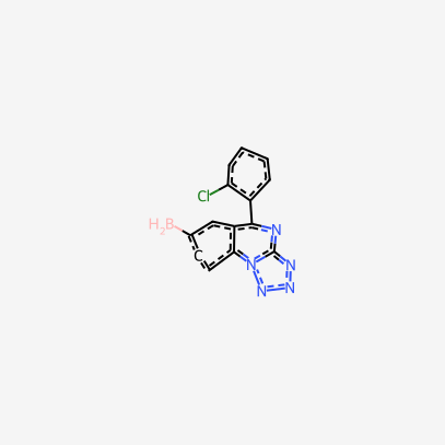 Bc1ccc2c(c1)c(-c1ccccc1Cl)nc1nnnn12